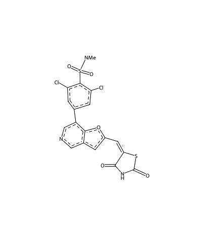 CNS(=O)(=O)c1c(Cl)cc(-c2cncc3cc(/C=C4/SC(=O)NC4=O)oc23)cc1Cl